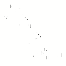 Cc1c2c(nn1CCN(CCO)N(C)C=O)CCN(C(=O)Nc1ccc(F)c(C#N)c1)C2